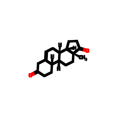 C[C@]12CC[C@H]3[C@@H](CC=C4CC(=O)CC[C@H]43)[C@@H]1CCC2=O